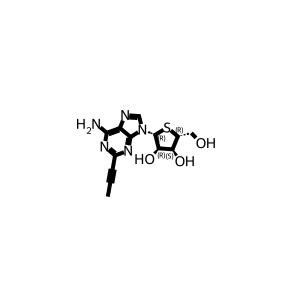 CC#Cc1nc(N)c2ncn([C@@H]3S[C@H](CO)[C@@H](O)[C@H]3O)c2n1